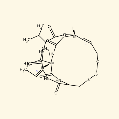 C=C1NC(C(C)C)C(=O)O[C@@H]2/C=C\CCSSCC(NC(=O)[C@H](C(C)C)NC(=O)C2)C(=O)N/C1=C/C